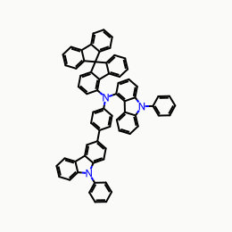 c1ccc(-n2c3ccccc3c3cc(-c4ccc(N(c5cccc6c5-c5ccccc5C65c6ccccc6-c6ccccc65)c5cccc6c5c5ccccc5n6-c5ccccc5)cc4)ccc32)cc1